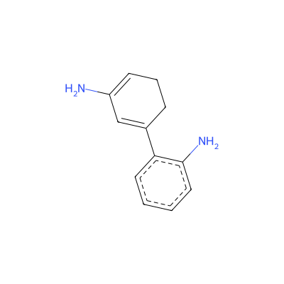 NC1=CCCC(c2ccccc2N)=C1